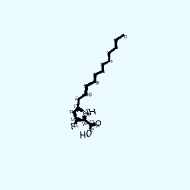 CCCCCCCCCCCCc1cc(F)c(C(=O)O)[nH]1